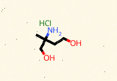 CC(N)(CO)CCO.Cl